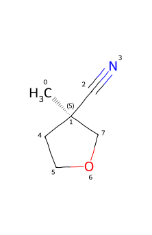 C[C@@]1(C#N)CCOC1